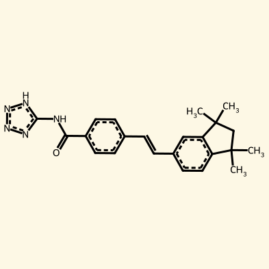 CC1(C)CC(C)(C)c2cc(C=Cc3ccc(C(=O)Nc4nnn[nH]4)cc3)ccc21